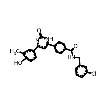 Cc1cc(-c2cc(-c3ccc(C(=O)NCc4cccc(Cl)c4)cc3)[nH]c(=O)n2)ccc1O